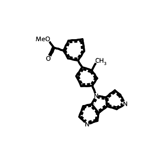 COC(=O)c1cccc(-c2ccc(-n3c4ccncc4c4cnccc43)cc2C)c1